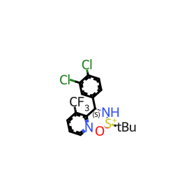 CC(C)(C)[S+]([O-])N[C@@H](c1ccc(Cl)c(Cl)c1)c1ncccc1C(F)(F)F